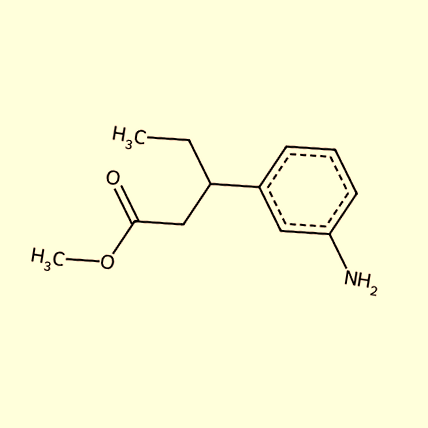 CCC(CC(=O)OC)c1cccc(N)c1